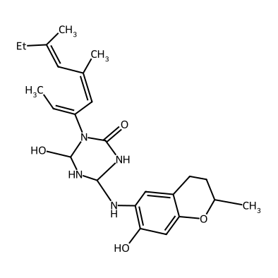 C\C=C(/C=C(C)\C=C(/C)CC)N1C(=O)NC(Nc2cc3c(cc2O)OC(C)CC3)NC1O